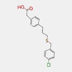 O=C(O)Cc1ccc(CCCSCc2ccc(Cl)cc2)cc1